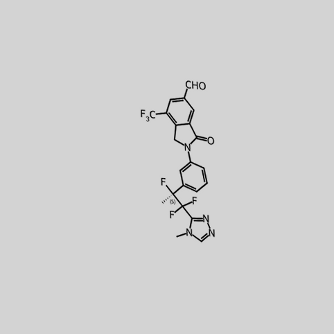 Cn1cnnc1C(F)(F)[C@@](C)(F)c1cccc(N2Cc3c(cc(C=O)cc3C(F)(F)F)C2=O)c1